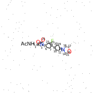 CC(=O)NC[C@H]1CN(c2ccc(-c3ccc(N4CCOCC4)cc3)c(F)c2)C(=O)O1